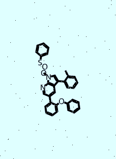 Cc1ccccc1-c1cn(OOSc2ccccc2)c2ncc(-c3ccccc3Oc3ccccc3)cc12